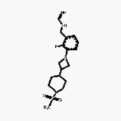 CS(=O)(=O)N1CCC(C2CN(c3cccc(CN[C]=N)c3F)C2)CC1